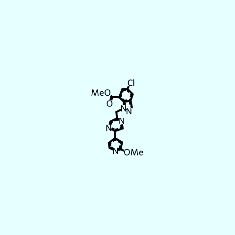 COC(=O)c1cc(Cl)cc2cnn(Cc3cnc(-c4ccnc(OC)c4)cn3)c12